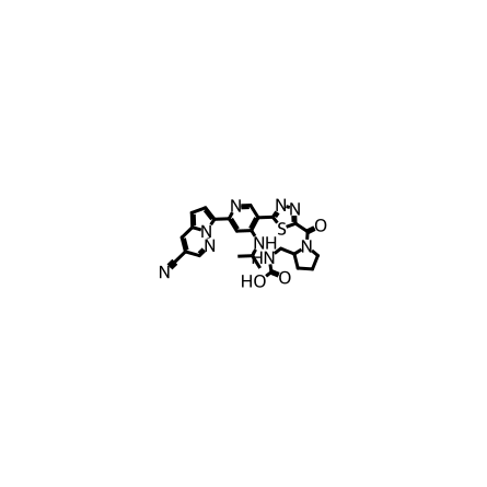 CC(C)Nc1cc(-c2ccc3cc(C#N)cnn23)ncc1-c1nnc(C(=O)N2CCCC2CNC(=O)O)s1